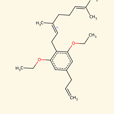 C=CCc1cc(OCC)c(C/C=C(\C)CCC=C(C)C)c(OCC)c1